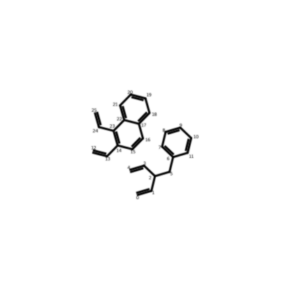 C=CC(C=C)Cc1ccccc1.C=Cc1ccc2ccccc2c1C=C